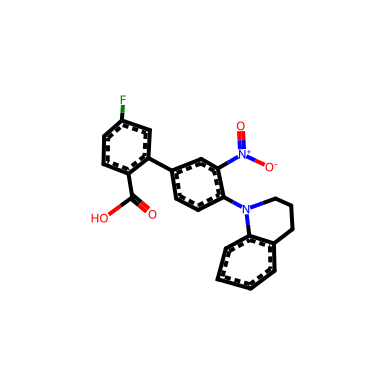 O=C(O)c1ccc(F)cc1-c1ccc(N2CCCc3ccccc32)c([N+](=O)[O-])c1